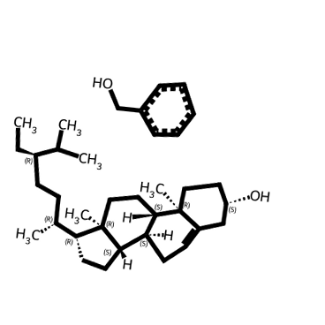 CC[C@H](CC[C@@H](C)[C@H]1CC[C@H]2[C@@H]3CC=C4C[C@@H](O)CC[C@]4(C)[C@H]3CC[C@]12C)C(C)C.OCc1ccccc1